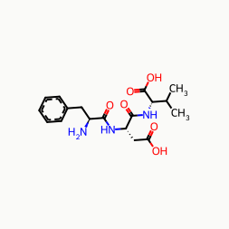 CC(C)[C@H](NC(=O)[C@H](CC(=O)O)NC(=O)[C@@H](N)Cc1ccccc1)C(=O)O